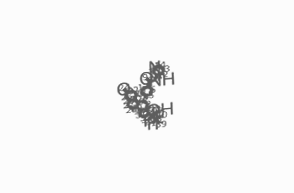 C[C@]12C[C@H](c3ccc(C(=O)Nc4cccnc4)cc3)C3=C4CCC(=O)C=C4CCC3C1CC[C@]2(O)C(F)(F)C(F)(F)F